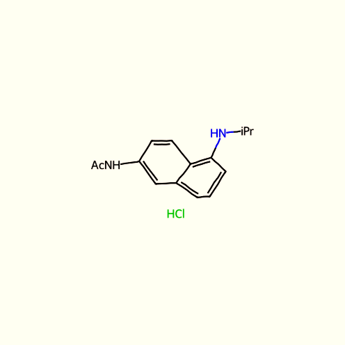 CC(=O)Nc1ccc2c(NC(C)C)cccc2c1.Cl